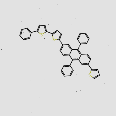 c1ccc(-c2ccc(-c3ccc(-c4ccc5c(-c6ccccc6)c6cc(-c7cccs7)ccc6c(-c6ccccc6)c5c4)s3)s2)cc1